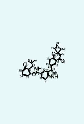 CC(C)[C@H](NC(=O)c1ccc2[nH]nc(-c3ccc4c(c3)C(=O)CC3(CN(C)C3)O4)c2c1)c1ccccc1Cl